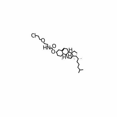 CC(C)CCC[C@@H](C)[C@H]1CC[C@H]2[C@@H]3CC=C4C[C@@H](OC(=O)NCCOCCCl)C[C@@H](C)C4[C@H]3CC[C@]12C